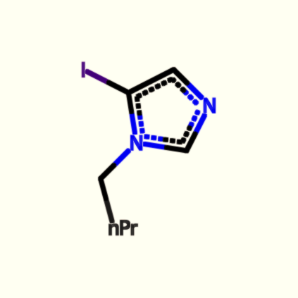 CCCCn1cncc1I